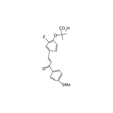 CSc1ccc(C(=O)C=Cc2ccc(OC(C)(C)C(=O)O)c(F)c2)cc1